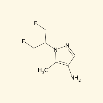 Cc1c(N)cnn1C(CF)CF